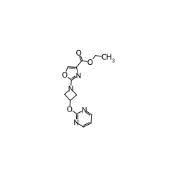 CCOC(=O)c1coc(N2CC(Oc3ncccn3)C2)n1